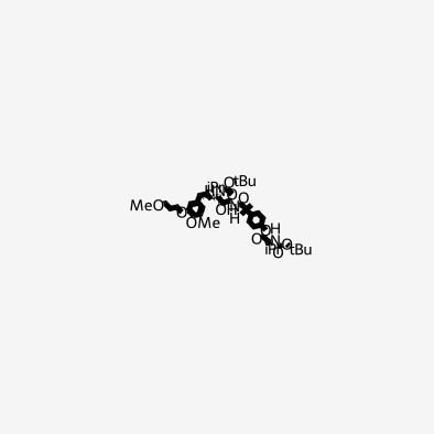 COCCCOc1cc(C[C@@H](C[C@H](NC(=O)OC(C)(C)C)[C@@H](O)CNC(=O)C(C)(C)C2CCC(OC(=O)[C@@H](NC(=O)OC(C)(C)C)C(C)C)CC2)C(C)C)ccc1OC